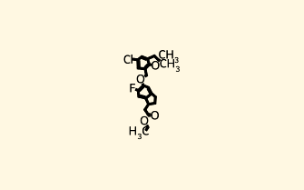 CCOC(=O)CC1CCc2cc(OCc3cc(Cl)cc4c3OC(C)(C)C4)c(F)cc21